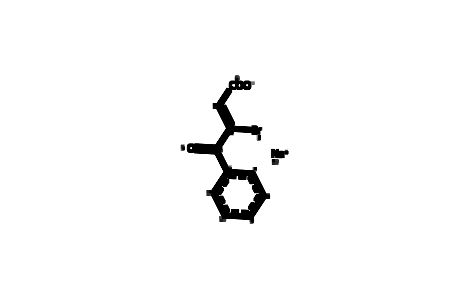 O=C([O-])/C=C(\Br)C(=O)c1ccccc1.[Na+]